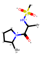 CC(C)C(NS(C)(=O)=O)C(=O)N1CCCC1C(C)(C)C